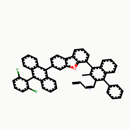 C=C/C=C\c1c(C)c(-c2cccc3c2oc2cc(-c4c5ccccc5c(-c5c(F)cccc5F)c5ccccc45)ccc23)c2ccccc2c1-c1ccccc1